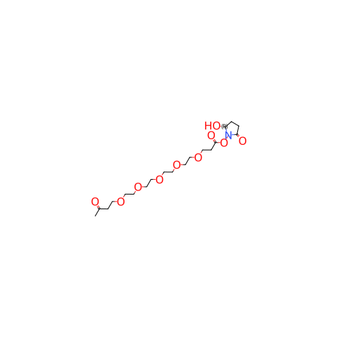 CC(=O)CCOCCOCCOCCOCCOCCC(=O)ON1C(=O)CC[C@H]1O